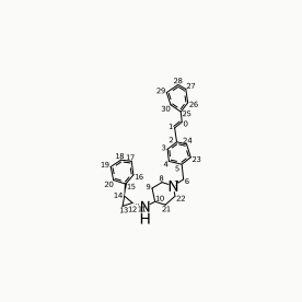 C(=C\c1ccc(CN2CCC(N[C@@H]3C[C@H]3c3ccccc3)CC2)cc1)/c1ccccc1